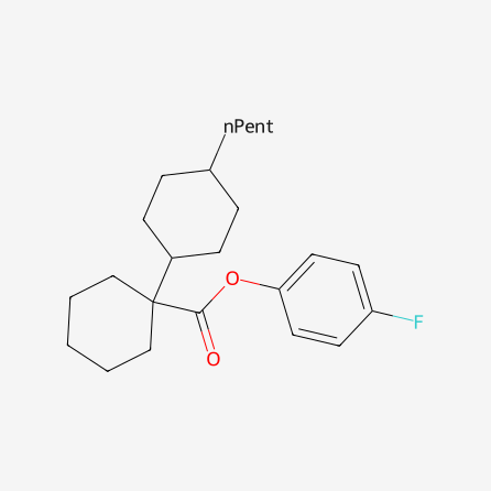 CCCCCC1CCC(C2(C(=O)Oc3ccc(F)cc3)CCCCC2)CC1